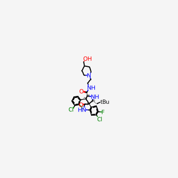 CC(C)(C)C[C@H]1N[C@@H](C(=O)NCCN2CCC(CO)CC2)[C@H](c2cccc(Cl)c2F)[C@@]12C(=O)Nc1cc(Cl)c(F)cc12